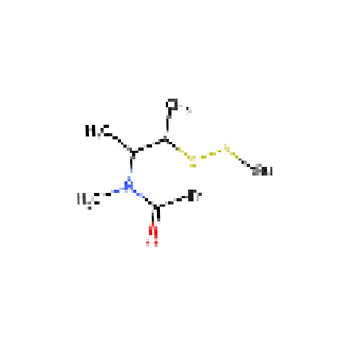 CC(C)C(=O)N(C)C(C)C(C)SSC(C)(C)C